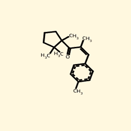 C/C(=C/c1ccc(C)cc1)C(=O)C1(C)CCCC1(C)C